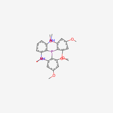 CNc1cccc(NC)c1P(c1c(OC)cc(OC)cc1OC)c1c(OC)cc(OC)cc1OC